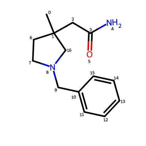 CC1(CC(N)=O)CCN(Cc2ccccc2)C1